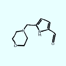 O=Cc1ccc(CN2CCOCC2)[nH]1